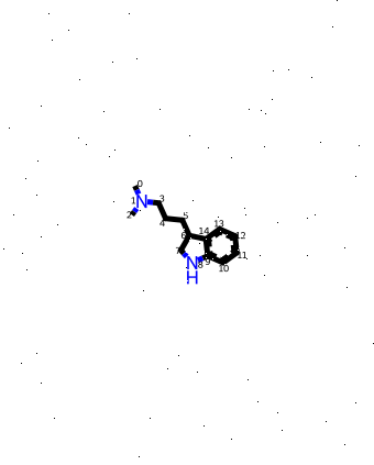 CN(C)CCCC1CNc2ccccc21